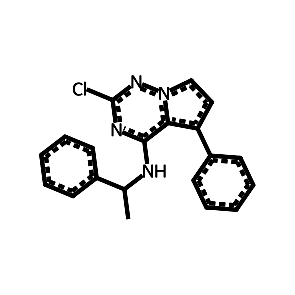 CC(Nc1nc(Cl)nn2ccc(-c3ccccc3)c12)c1ccccc1